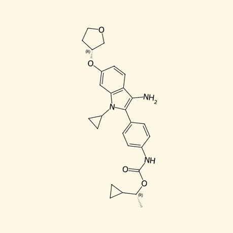 C[C@@H](OC(=O)Nc1ccc(-c2c(N)c3ccc(O[C@@H]4CCOC4)cc3n2C2CC2)cc1)C1CC1